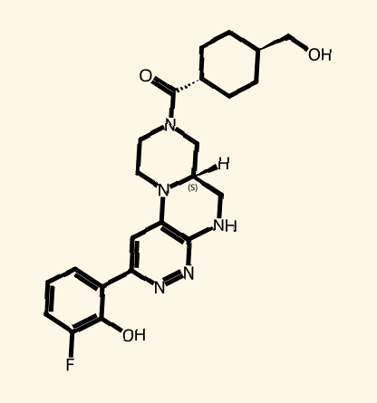 O=C([C@H]1CC[C@H](CO)CC1)N1CCN2c3cc(-c4cccc(F)c4O)nnc3NC[C@H]2C1